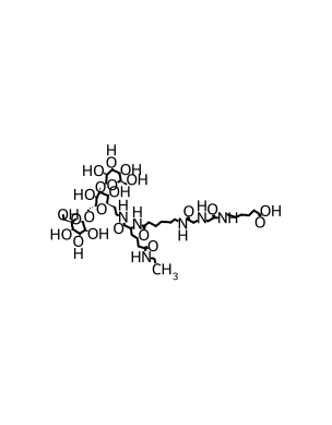 CCNC(=O)CCCC(NC(=O)CCCCCNC(=O)CNCC(=O)NCCCCCC(=O)O)C(=O)NCC[C@H]1O[C@H](CO[C@H]2O[C@H](CO)[C@@H](O)[C@H](O)[C@@H]2O)[C@@H](O)[C@H](O[C@H]2O[C@H](CO)[C@@H](O)[C@H](O)[C@@H]2O)[C@@H]1O